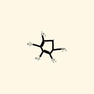 CC1=C(C(F)(F)F)CC(N)C(C(F)(F)F)=C1C